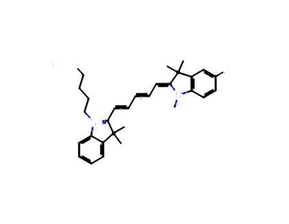 CC(=O)c1ccc2c(c1)C(C)(C)/C(=C/C=C/C=C/C1=[N+](CCCCS(=O)(=O)O)c3ccccc3C1(C)C)N2C